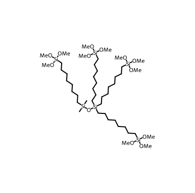 CO[Si](CCCCCCCC[Si](C)(C)O[Si](CCCCCCCC[Si](OC)(OC)OC)(CCCCCCCC[Si](OC)(OC)OC)CCCCCCCC[Si](OC)(OC)OC)(OC)OC